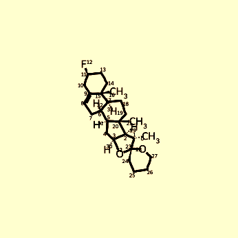 C[C@H]1[C@H]2[C@H](C[C@H]3[C@@H]4CC=C5C[C@@H](F)CC[C@]5(C)[C@H]4CC[C@]23C)O[C@]12CCCCO2